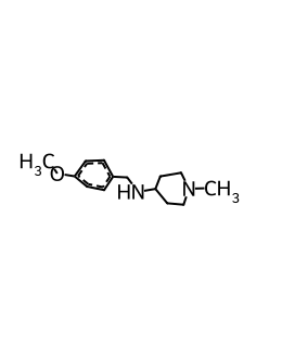 COc1ccc(CNC2CCN(C)CC2)cc1